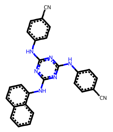 N#Cc1ccc(Nc2nc(Nc3ccc(C#N)cc3)nc(Nc3cccc4ccccc34)n2)cc1